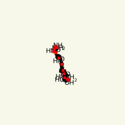 CC(C)c1cc(C(=N)N(C(N)=O)c2ccc3c(ccn3CCOCCNC(=O)c3ccc(CCc4c[nH]c5nc(N)[nH]c(=O)c45)cc3)c2)c(O)cc1O